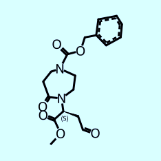 COC(=O)[C@H](CC=O)N1CCN(C(=O)OCc2ccccc2)CCC1=O